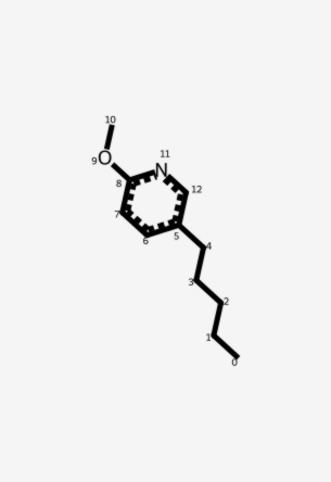 CCCCCc1ccc(OC)nc1